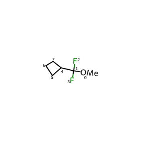 COC(F)(F)C1CCC1